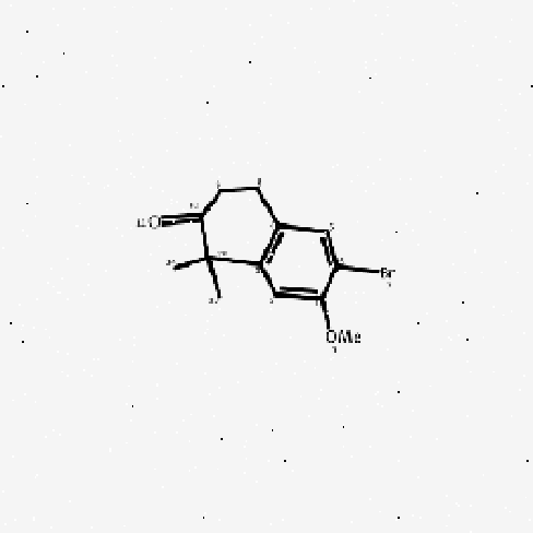 COc1cc2c(cc1Br)CCC(=O)C2(C)C